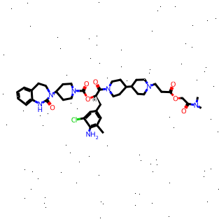 Cc1cc(C[C@@H](OC(=O)N2CCC(N3CCc4ccccc4NC3=O)CC2)C(=O)N2CCC(C3CCN(CCC(=O)OCC(=O)N(C)C)CC3)CC2)cc(Cl)c1N